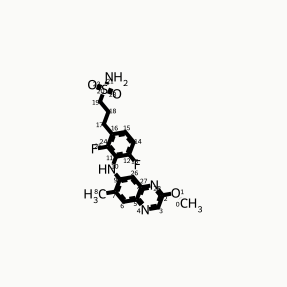 COc1cnc2cc(C)c(Nc3c(F)ccc(CCCS(N)(=O)=O)c3F)cc2n1